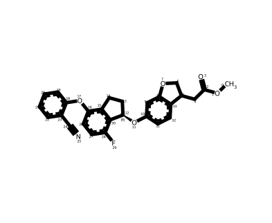 COC(=O)CC1COc2cc(O[C@@H]3CCc4c(Oc5ccccc5C#N)ccc(F)c43)ccc21